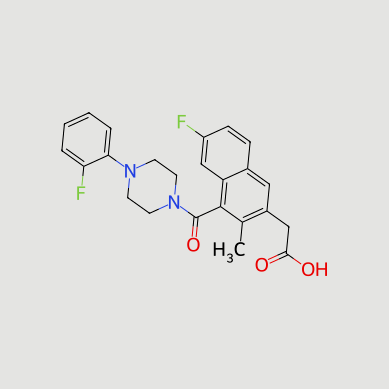 Cc1c(CC(=O)O)cc2ccc(F)cc2c1C(=O)N1CCN(c2ccccc2F)CC1